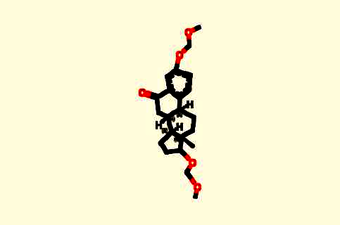 COCOc1ccc2c(c1)C(=O)C[C@@H]1[C@@H]2CC[C@]2(C)C(OCOC)CC[C@@H]12